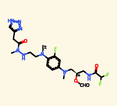 CCN(CCNN(C)C(=O)Cc1c[nH]nn1)c1ccc(N(C)C[C@H](CNC(=O)C(F)F)OC=O)cc1F